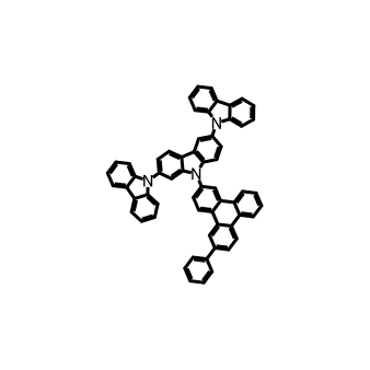 c1ccc(-c2ccc3c4ccccc4c4cc(-n5c6ccc(-n7c8ccccc8c8ccccc87)cc6c6ccc(-n7c8ccccc8c8ccccc87)cc65)ccc4c3c2)cc1